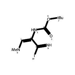 CN/C=C(/NC(=O)OC(C)(C)C)C(=N)I